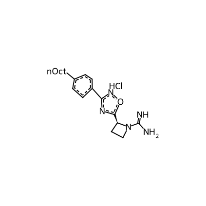 CCCCCCCCc1ccc(-c2noc([C@@H]3CCN3C(=N)N)n2)cc1.Cl